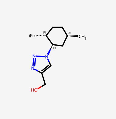 CC(C)[C@@H]1CC[C@@H](C)C[C@H]1n1cc(CO)nn1